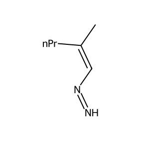 CCC/C(C)=C\N=N